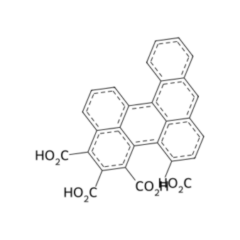 O=C(O)c1c(C(=O)O)c2cccc3c2c(c1C(=O)O)c1c(C(=O)O)ccc2cc4ccccc4c3c21